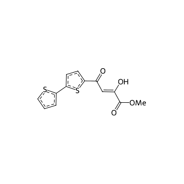 COC(=O)C(O)=CC(=O)c1ccc(-c2cccs2)s1